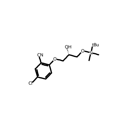 CC(C)(C)[Si](C)(C)OC[C@@H](O)COc1ccc(Cl)cc1C#N